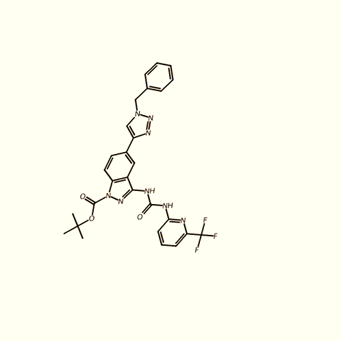 CC(C)(C)OC(=O)n1nc(NC(=O)Nc2cccc(C(F)(F)F)n2)c2cc(-c3cn(Cc4ccccc4)nn3)ccc21